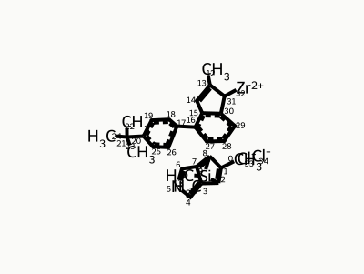 CC1=C2C3=CN=CC3=C1[Si]2(C)C.CC1=Cc2c(-c3ccc(C(C)(C)C)cc3)cccc2[CH]1[Zr+2].[Cl-].[Cl-]